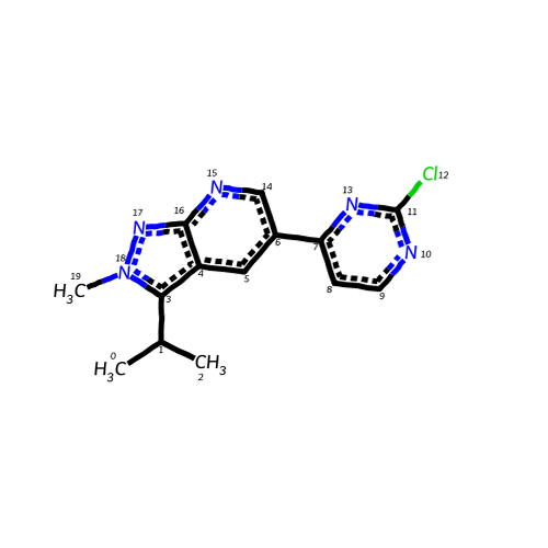 CC(C)c1c2cc(-c3ccnc(Cl)n3)cnc2nn1C